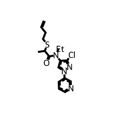 C=CCCSC(C)C(=O)N(CC)c1cn(-c2cccnc2)nc1Cl